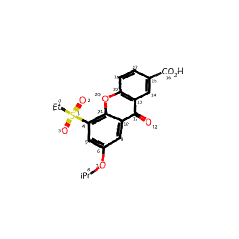 CCS(=O)(=O)c1cc(OC(C)C)cc2c(=O)c3cc(C(=O)O)ccc3oc12